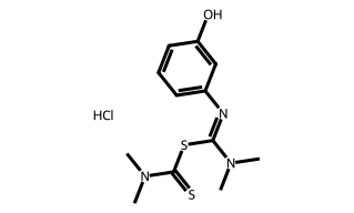 CN(C)C(=S)SC(=Nc1cccc(O)c1)N(C)C.Cl